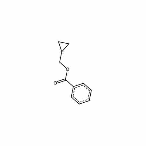 O=C(OCC1CC1)c1[c]cccc1